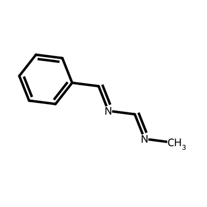 C/N=C/N=Cc1ccccc1